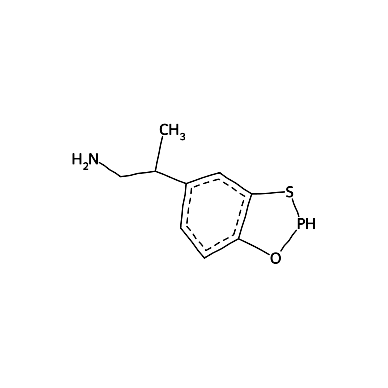 CC(CN)c1ccc2c(c1)SPO2